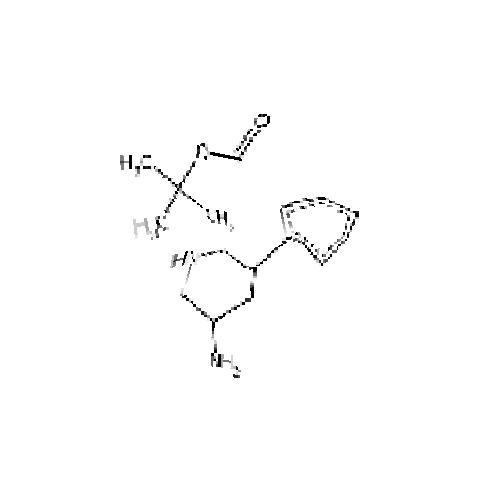 CC(C)(C)OC=O.NC1CNCC(c2ccccc2)C1